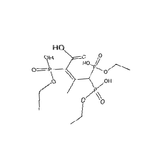 CCOP(=O)(O)/C(C(=O)O)=C(\C)C(P(=O)(O)OCC)P(=O)(O)OCC